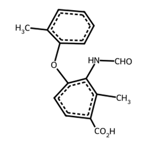 Cc1ccccc1Oc1ccc(C(=O)O)c(C)c1NC=O